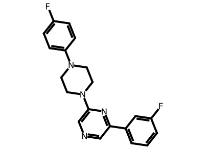 Fc1ccc(N2CCN(c3cncc(-c4cccc(F)c4)n3)CC2)cc1